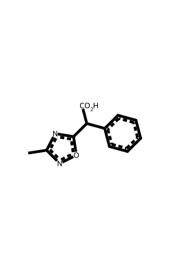 Cc1noc(C(C(=O)O)c2ccccc2)n1